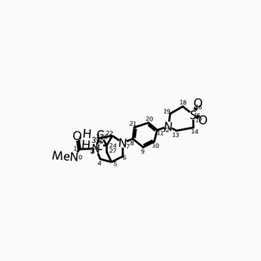 CNC(=O)N1CC2CN(c3ccc(N4CCS(=O)(=O)CC4)cc3)C(C1)C(C)(C)C2